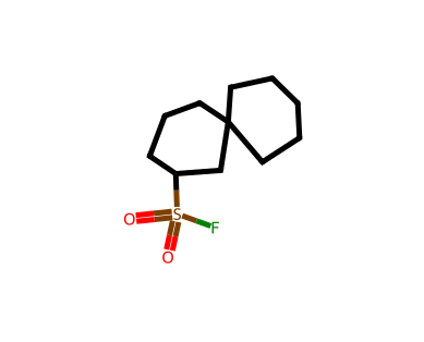 O=S(=O)(F)C1CCCC2(CCCCC2)C1